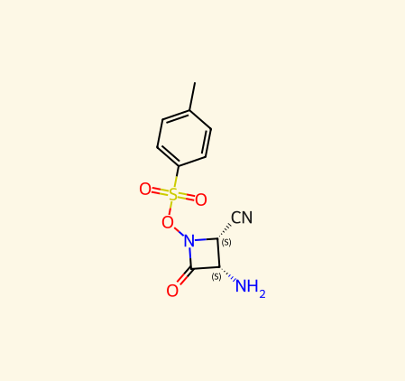 Cc1ccc(S(=O)(=O)ON2C(=O)[C@@H](N)[C@H]2C#N)cc1